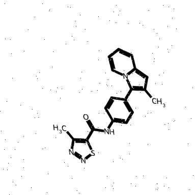 Cc1cc2ccccn2c1-c1ccc(NC(=O)c2snnc2C)cc1